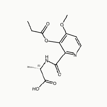 CCC(=O)Oc1c(OC)ccnc1C(=O)N[C@@H](C)C(=O)O